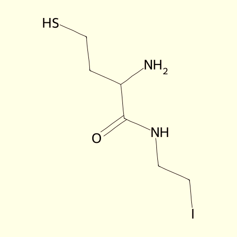 NC(CCS)C(=O)NCCI